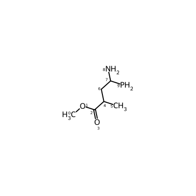 COC(=O)C(C)CC(N)P